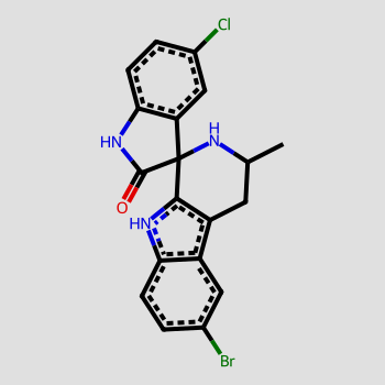 CC1Cc2c([nH]c3ccc(Br)cc23)C2(N1)C(=O)Nc1ccc(Cl)cc12